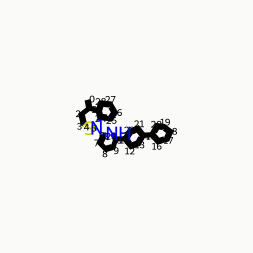 C=C1C=CSN(C2=CC=CC(c3ccc(-c4ccccc4)cc3)N2)c2ccccc21